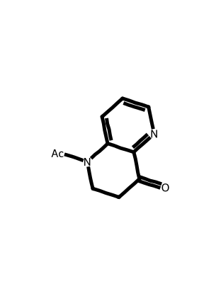 CC(=O)N1CCC(=O)c2ncccc21